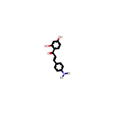 CCN(CC)c1ccc(/C=C/C(=O)c2ccc(O)cc2O)cc1